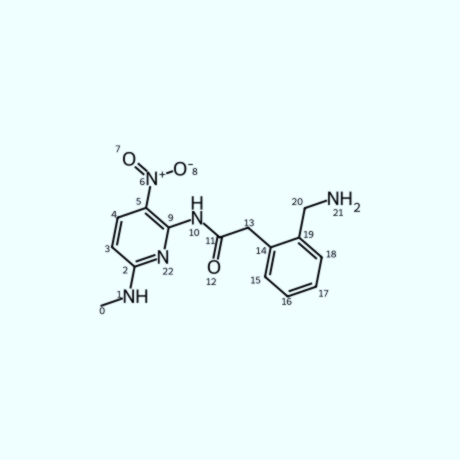 CNc1ccc([N+](=O)[O-])c(NC(=O)Cc2ccccc2CN)n1